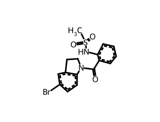 CS(=O)(=O)Nc1ccccc1C(=O)N1CCc2cc(Br)ccc21